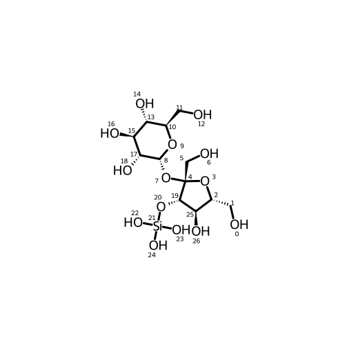 OC[C@H]1O[C@@](CO)(O[C@H]2O[C@H](CO)[C@@H](O)[C@H](O)[C@H]2O)[C@@H](O[Si](O)(O)O)[C@@H]1O